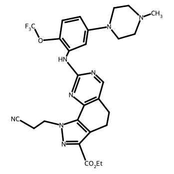 CCOC(=O)c1nn(CCC#N)c2c1CCc1cnc(Nc3cc(N4CCN(C)CC4)ccc3OC(F)(F)F)nc1-2